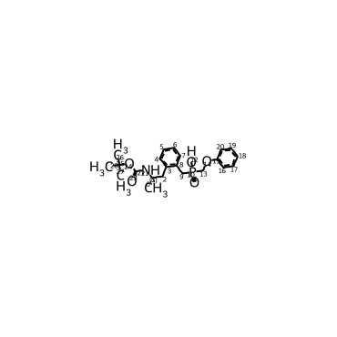 C[C@@H](Cc1ccccc1CP(=O)(O)COc1ccccc1)NC(=O)OC(C)(C)C